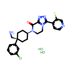 Cl.Cl.NC[C@]1(c2cccc(Cl)c2)CC[C@H](N2CCn3c(nnc3-c3ccncc3F)C2=O)CC1